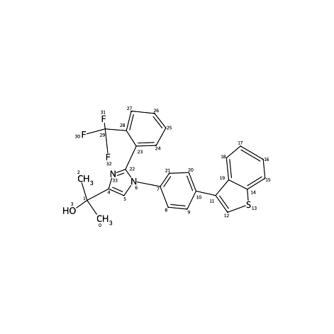 CC(C)(O)c1cn(-c2ccc(-c3csc4ccccc34)cc2)c(-c2ccccc2C(F)(F)F)n1